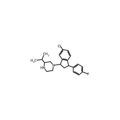 CC(C)C1CN(C2CC(c3ccc(F)cc3)c3ccc(Cl)cc32)CCN1